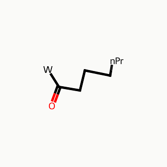 CCCCCC[C](=O)[W]